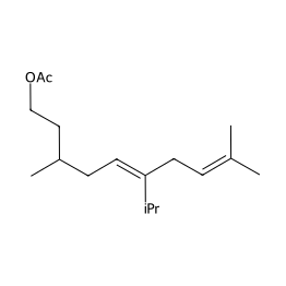 CC(=O)OCCC(C)C/C=C(/CC=C(C)C)C(C)C